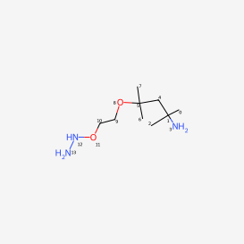 CC(C)(N)CC(C)(C)OCCONN